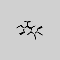 C=CN(CC)/C(C(C)=O)=C(/C)C(C)N(C)N(C)C=C